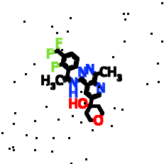 Cc1nnc(N[C@H](C)c2cccc(C(F)F)c2F)c2cc(C3(O)CCOCC3)cnc12